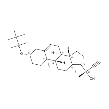 C#C[C@](C)(O)[C@H]1CC[C@H]2[C@@H]3CC=C4C[C@@H](O[Si](C)(C)C(C)(C)C)CC[C@]4(C)[C@H]3CC[C@@]21C